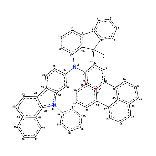 CC1(C)c2ccccc2-c2cccc(N(c3ccc(-c4cccc5cccc(-c6ccccc6)c45)cc3)c3ccc4c5ccc6ccccc6c5n(-c5ccccc5)c4c3)c21